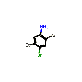 CCc1cc(N)c(C(C)=O)cc1Br